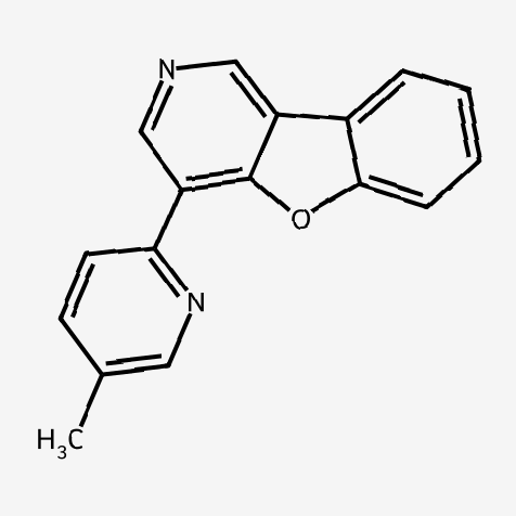 Cc1ccc(-c2cncc3c2oc2ccccc23)nc1